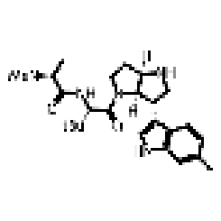 CN[C@@H](C)C(=O)N[C@H](C(=O)N1CC[C@H]2NC[C@H](c3c[nH]c4cc(C)ccc34)[C@H]21)C(C)(C)C